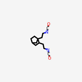 O=C=NCCC1CC2CCC1(CCN=C=O)C2